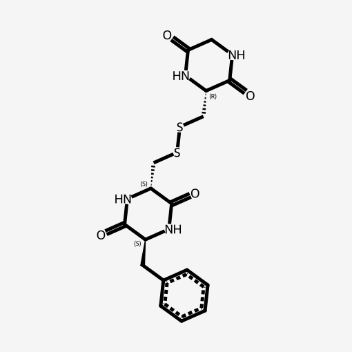 O=C1CNC(=O)[C@H](CSSC[C@H]2NC(=O)[C@H](Cc3ccccc3)NC2=O)N1